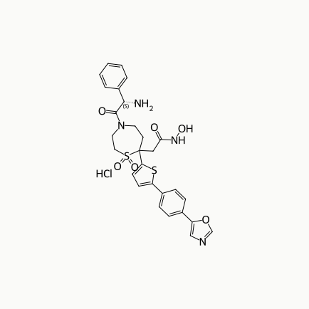 Cl.N[C@H](C(=O)N1CCC(CC(=O)NO)(c2ccc(-c3ccc(-c4cnco4)cc3)s2)S(=O)(=O)CC1)c1ccccc1